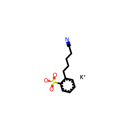 N#CCCCCc1ccccc1S(=O)(=O)[O-].[K+]